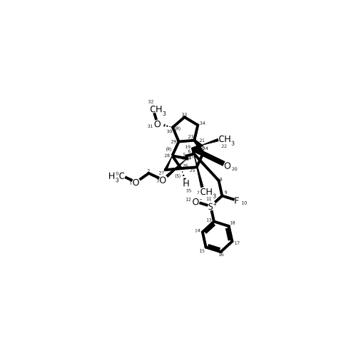 COCO[C@@H]1C[C@@](C)(CC(F)[S+]([O-])c2ccccc2)C(=O)[C@H](C)C23CC[C@H]4C[C@]41C2[C@H](OC)CC3